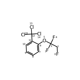 FCC(F)(F)Oc1ccccc1C(Cl)(Cl)Cl